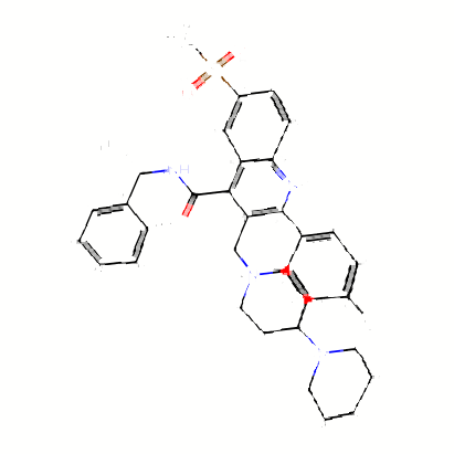 C[C@H](NC(=O)c1c(CN2CCC(N3CCCCC3)CC2)c(-c2ccc(C(F)(F)F)cc2)nc2ccc(S(C)(=O)=O)cc12)c1ccccc1